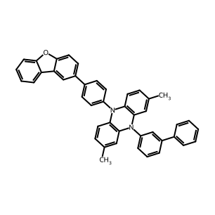 Cc1ccc2c(c1)N(c1cccc(-c3ccccc3)c1)c1cc(C)ccc1N2c1ccc(-c2ccc3oc4ccccc4c3c2)cc1